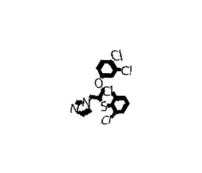 Clc1ccc(OCC(Cn2ccnc2)Sc2c(Cl)cccc2Cl)cc1Cl